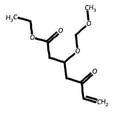 C=CC(=O)CC(CC(=O)OCC)OCOC